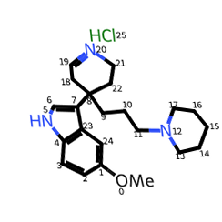 COc1ccc2[nH]cc(C3(CCCN4CCCCC4)CC=NCC3)c2c1.Cl